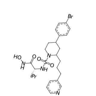 CC(C)[C@@H](NS(=O)(=O)N1CCC(c2ccc(Br)cc2)CC1CCCc1cccnc1)C(=O)NO